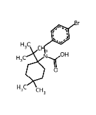 CC1(C)CCC(N(Cc2ccc(Br)cc2)C(=O)O)(C(C)(C)C)CC1